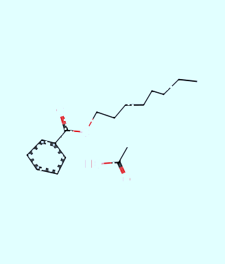 CC(=O)O.CCCCCCCCOC(=O)c1ccccc1